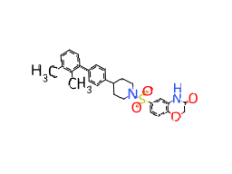 Cc1cccc(-c2ccc(C3CCN(S(=O)(=O)c4ccc5c(c4)NC(=O)CO5)CC3)cc2)c1C